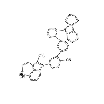 C#C/C=C\c1c(C)n(-c2ccc(C#N)c(-c3cccc(-c4ccccc4-n4c5ccccc5c5ccccc54)c3)c2)c2cccc(C#N)c12